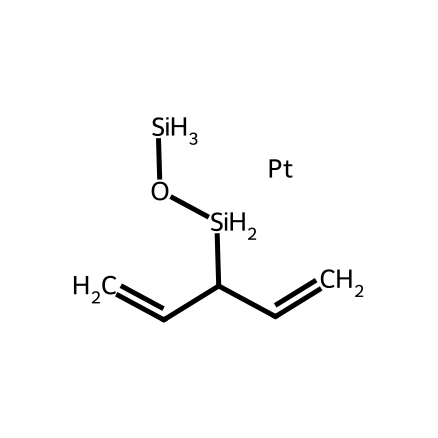 C=CC(C=C)[SiH2]O[SiH3].[Pt]